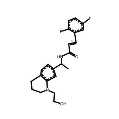 CC(NC(=O)/C=C/c1cc(F)ccc1F)c1ccc2c(c1)N(CCO)CCC2